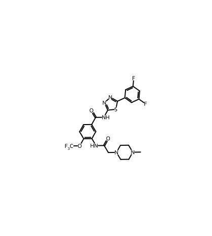 CN1CCN(CC(=O)Nc2cc(C(=O)Nc3nnc(-c4cc(F)cc(F)c4)s3)ccc2OC(F)(F)F)CC1